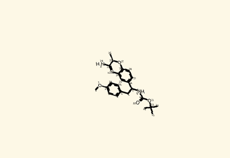 COc1ccc(CC(NC(=O)OC(C)(C)C)c2ccc3c(c2)N=C(N)C(C)O3)cc1